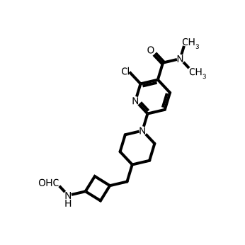 CN(C)C(=O)c1ccc(N2CCC(CC3CC(NC=O)C3)CC2)nc1Cl